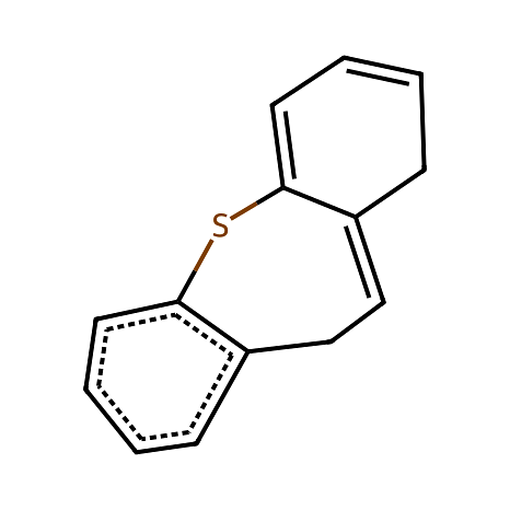 C1=CCC2=CCc3ccccc3SC2=C1